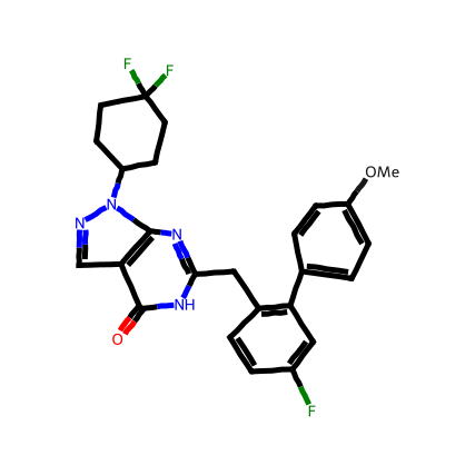 COc1ccc(-c2cc(F)ccc2Cc2nc3c(cnn3C3CCC(F)(F)CC3)c(=O)[nH]2)cc1